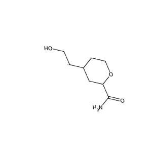 NC(=O)C1CC([CH]CO)CCO1